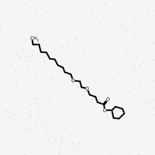 CCCCCCCCCCCOCCOCCCC(=O)OC1CCCCC1